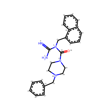 N=C(N)N(Cc1cccc2ccccc12)C(=O)N1CCN(Cc2ccccc2)CC1